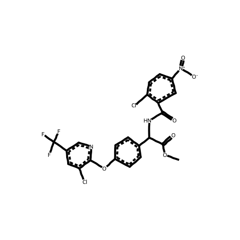 COC(=O)C(NC(=O)c1cc([N+](=O)[O-])ccc1Cl)c1ccc(Oc2ncc(C(F)(F)F)cc2Cl)cc1